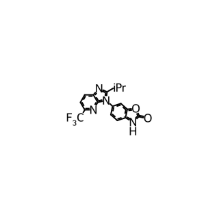 CC(C)c1nc2ccc(C(F)(F)F)nc2n1-c1ccc2[nH]c(=O)oc2c1